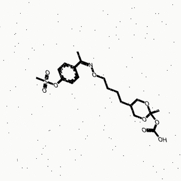 CC(=NOCCCCC1COC(C)(OC(=O)O)OC1)c1ccc(OS(C)(=O)=O)cc1